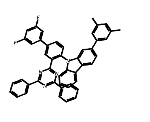 Cc1cc(C)cc(-c2ccc3c4ccccc4n(-c4ccc(-c5cc(F)cc(F)c5)cc4-c4nc(-c5ccccc5)nc(-c5ccccc5)n4)c3c2)c1